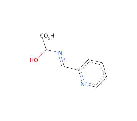 O=C(O)C(O)/N=C/c1ccccn1